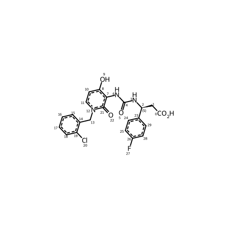 O=C(O)C[C@H](NC(=O)Nc1c(O)ccn(Cc2ccccc2Cl)c1=O)c1ccc(F)cc1